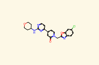 O=c1cc(-c2ccnc(NC3CCOCC3)n2)ccn1Cc1nc2ccc(Cl)cc2o1